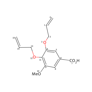 C=CCOc1cc(C(=O)O)cc(OC)c1OCC=C